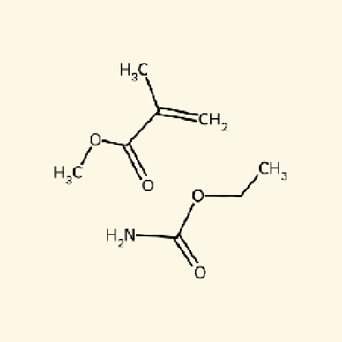 C=C(C)C(=O)OC.CCOC(N)=O